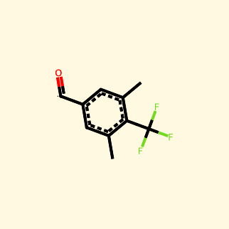 Cc1cc([C]=O)cc(C)c1C(F)(F)F